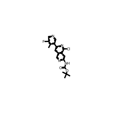 Cc1c(F)cncc1-c1cc2cnc(NC(=O)OC(C)(C)C)cc2c(Cl)n1